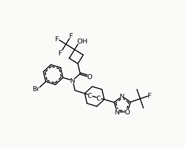 CC(C)(F)c1nc(C23CCC(CN(C(=O)C4CC(O)(C(F)(F)F)C4)c4cccc(Br)c4)(CC2)CC3)no1